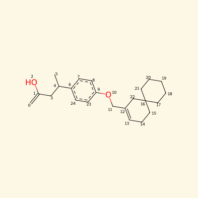 C=C(O)CC(C)c1ccc(OCC2=CCCC3(CCCCC3)C2)cc1